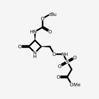 COC(=O)CS(=O)(=O)NOC[C@H]1NC(=O)[C@H]1NC(=O)OC(C)(C)C